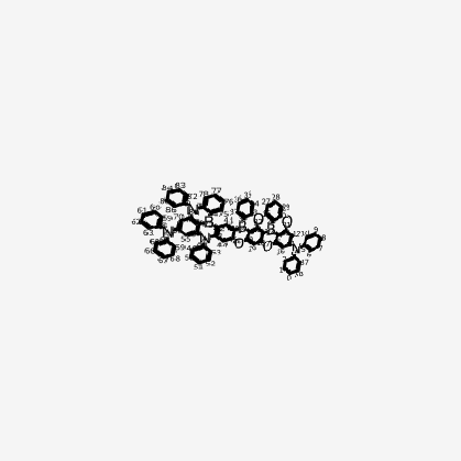 c1ccc(N(c2ccccc2)c2cc3c4c(c2)Oc2cc5c6c(c2B4c2ccccc2O3)Oc2ccccc2B6c2cc3c(cc2O5)N(c2ccccc2)c2cc(N(c4ccccc4)c4ccccc4)cc4c2B3c2ccccc2N4c2ccccc2)cc1